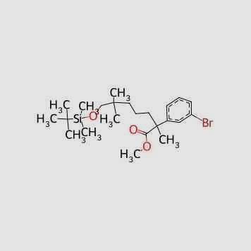 COC(=O)C(C)(CCCC(C)(C)CO[Si](C)(C)C(C)(C)C)c1cccc(Br)c1